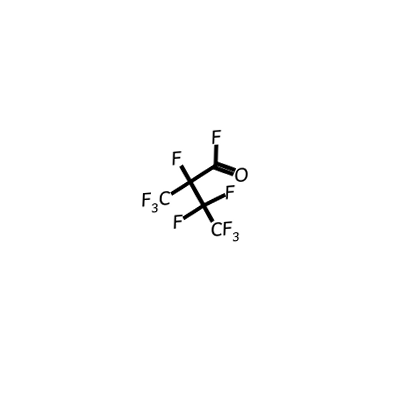 O=C(F)C(F)(C(F)(F)F)C(F)(F)C(F)(F)F